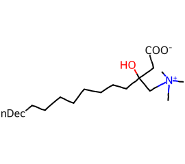 CCCCCCCCCCCCCCCCCCC(O)(CC(=O)[O-])C[N+](C)(C)C